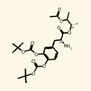 CC(=O)OC(C)[C@H](C)OC(=O)[C@@H](N)Cc1ccc(OC(=O)OC(C)(C)C)c(OC(=O)OC(C)(C)C)c1